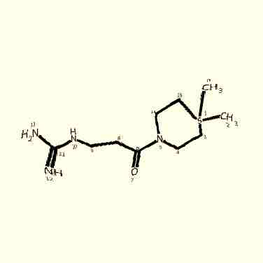 CS1(C)CCN(C(=O)CCNC(=N)N)CC1